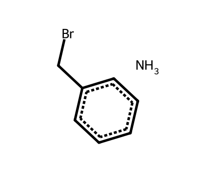 BrCc1ccccc1.N